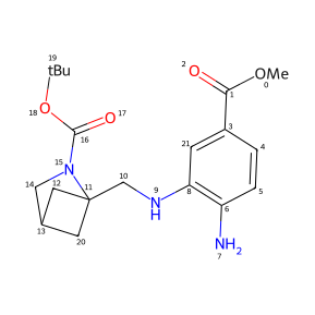 COC(=O)c1ccc(N)c(NCC23CC(CN2C(=O)OC(C)(C)C)C3)c1